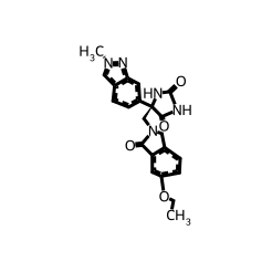 CCOc1ccc2c(c1)C(=O)N(C[C@@]1(c3ccc4cn(C)nc4c3)NC(=O)NC1=O)C2